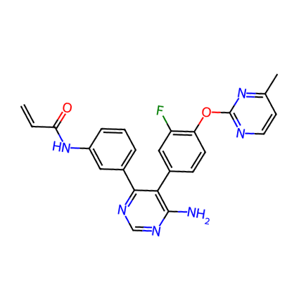 C=CC(=O)Nc1cccc(-c2ncnc(N)c2-c2ccc(Oc3nccc(C)n3)c(F)c2)c1